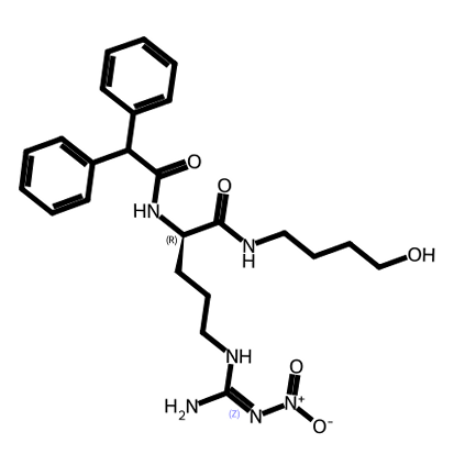 N/C(=N/[N+](=O)[O-])NCCC[C@@H](NC(=O)C(c1ccccc1)c1ccccc1)C(=O)NCCCCO